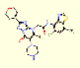 CCc1c(N2CCNCC2)c(=O)n2nc(C3=CCOCC3)nc2n1CC(=O)Nc1c(Cl)cc(C(F)(F)F)c2scnc12